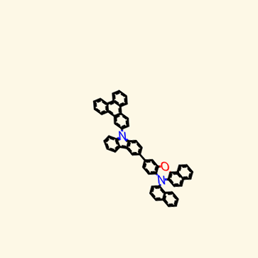 c1ccc2c(N3c4ccc(-c5ccc6c(c5)c5ccccc5n6-c5ccc6c7ccccc7c7ccccc7c6c5)cc4Oc4c3ccc3ccccc43)cccc2c1